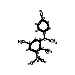 Cc1cc(C(C)c2ccc(Cl)cc2)c(N)c([N+](=O)[O-])c1